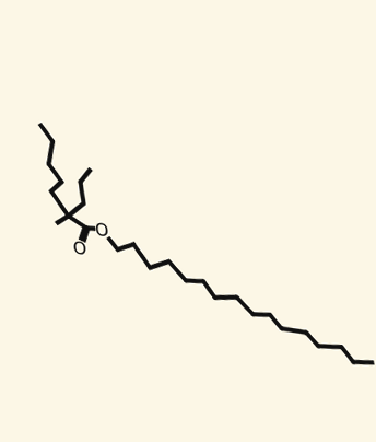 CCCCCCCCCCCCCCCCOC(=O)C(C)(CCC)CCCCC